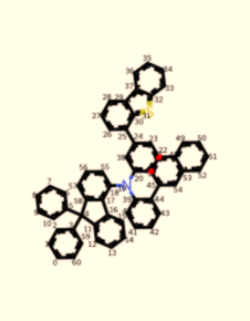 c1ccc(C2(c3ccccc3)c3ccccc3-c3c(N(c4cccc(-c5cccc6c5sc5ccccc56)c4)c4ccccc4-c4ccc5ccccc5c4)cccc32)cc1